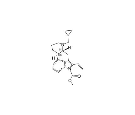 C=Cc1c2c3c(cccc3n1C(=O)OC)[C@H]1CCCN(CC3CC3)[C@@H]1C2